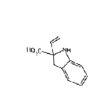 C=CC1(C(=O)O)Cc2ccccc2N1